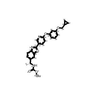 C[C@@H](NC(=O)OC(C)(C)C)c1ccc2nc(-c3ccc(Oc4cccc(OCC5CC5)c4)nc3)oc2c1